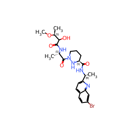 CO[C@@H](C)C(O)C(=O)N[C@@H](C)C(=O)N1CCC[C@@H](C(=O)N[C@H](C)c2ccc3ccc(Br)cc3n2)N1